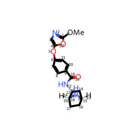 COc1ncc(Oc2ccc(C(=O)N[C@@H]3C[C@H]4CC[C@@H]3N4)cc2)o1